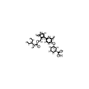 CCC(CC)N(C)C(=O)OCc1c(-c2ccc(O[C@H]3CCC[C@H](C(=O)O)C3)c(C)n2)cnn1C